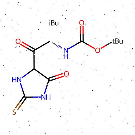 CC[C@H](C)[C@H](NC(=O)OC(C)(C)C)C(=O)C1NC(=S)NC1=O